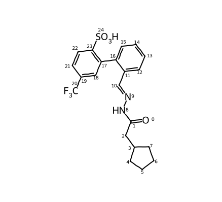 O=C(CC1CCCC1)NN=Cc1ccccc1-c1cc(C(F)(F)F)ccc1S(=O)(=O)O